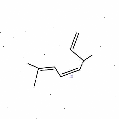 C=CC(C)/C=C\C=C(C)C